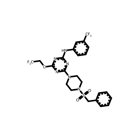 O=S(=O)(Cc1ccccc1)N1CCN(c2nc(Nc3cccc(C(F)(F)F)c3)nc(OCC(F)(F)F)n2)CC1